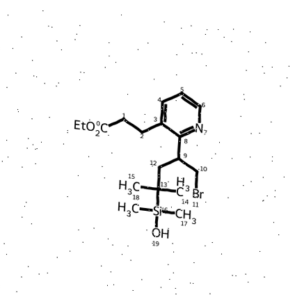 CCOC(=O)CCc1cccnc1C(CBr)CC(C)(C)[Si](C)(C)O